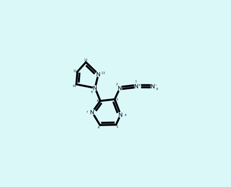 [N-]=[N+]=Nc1nccnc1-n1cccn1